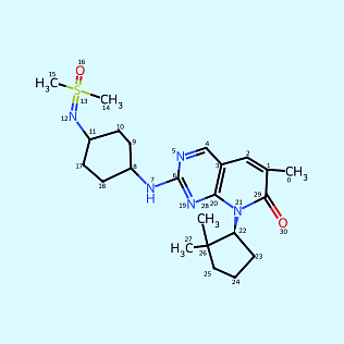 Cc1cc2cnc(NC3CCC(N=S(C)(C)=O)CC3)nc2n([C@H]2CCCC2(C)C)c1=O